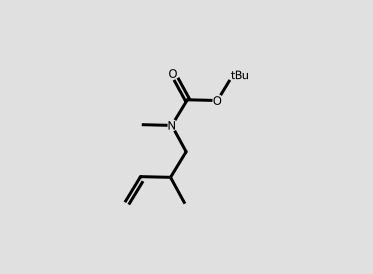 C=CC(C)CN(C)C(=O)OC(C)(C)C